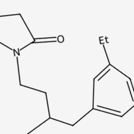 CCc1cccc(CC(C)CCN2CCCC2=O)c1